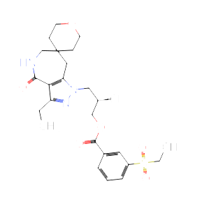 CCc1nn(C[C@@H](C)COC(=O)c2cccc(S(=O)(=O)CC)c2)c2c1C(=O)NCC1(CCOCC1)C2